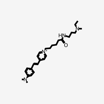 CCN(C)CCCNC(=O)CCCCC[n+]1ccc(C=Cc2ccc(N(C)C)cc2)cc1